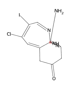 NC1=NC=C2CC(=O)CC3=CC(Cl)=C(I)C=NC23N1